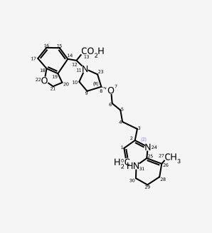 C=C/C(CCCCO[C@@H]1CCN(C(C(=O)O)c2cccc3c2CCO3)C1)=N\C1=C(C)CCCN1